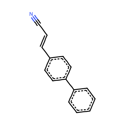 N#CC=Cc1ccc(-c2ccccc2)cc1